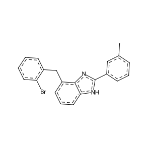 Cc1cccc(-c2nc3c(Cc4ccccc4Br)cccc3[nH]2)c1